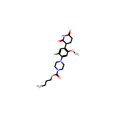 CCCCOC(=O)N1CCN(c2cc(OC)c(C3CCC(=O)NC3=O)cc2F)CC1